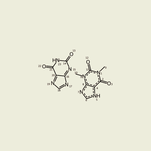 Cn1c(=O)c2[nH]cnc2n(C)c1=O.O=C1N=C2N=CN=C2C(=O)N1